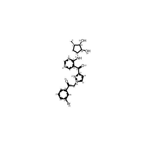 [CH2][C@@H]1C[C@@H](Nc2ncncc2C(=O)c2ccn(CC(=O)c3cccc(Br)c3)n2)[C@H](O)[C@@H]1O